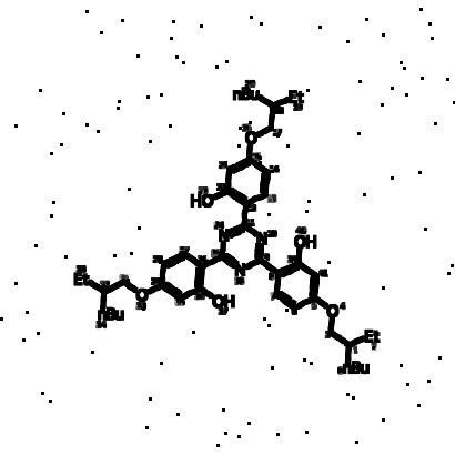 CCCCC(CC)COc1ccc(-c2nc(-c3ccc(OCC(CC)CCCC)cc3O)nc(-c3ccc(OCC(CC)CCCC)cc3O)n2)c(O)c1